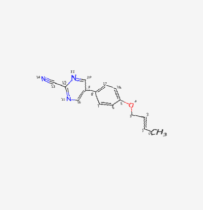 CC=CCOc1ccc(-c2cnc(C#N)nc2)cc1